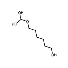 OCCCCCCOC(O)O